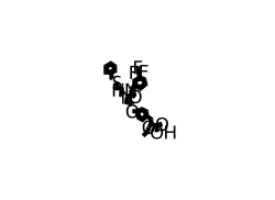 CCOC(Cc1ccc(OCCN(CCCSCc2ccccc2)C(=O)Nc2cccc(C(F)(F)F)c2)cc1)C(=O)O